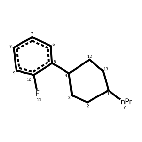 CCCC1CCC(c2ccccc2F)CC1